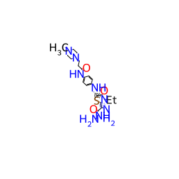 CCN1C(=O)[C@@H](CNc2ccc(NC(=O)CCN3CCN(C)CC3)cc2)S/C1=C(/N)C(=O)NN